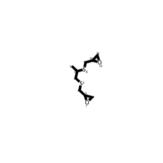 CC(CSCC1CO1)SCC1CO1